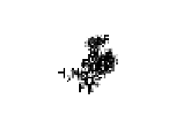 C#Cc1c(F)c(F)c(F)c2cc(N)cc(-c3cc4c5c(nc(OC[C@@]67CCCN6C[C@H](F)C7)nc5c3F)N3C[C@H]5CC[C@H](N5)[C@H]3CO4)c12